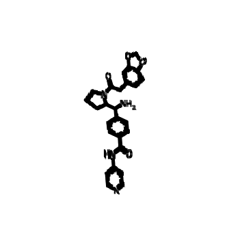 NC(c1ccc(C(=O)Nc2ccncc2)cc1)C1CCCN1C(=O)Cc1ccc2c(c1)OCO2